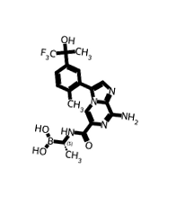 Cc1ccc(C(C)(O)C(F)(F)F)cc1-c1cnc2c(N)nc(C(=O)N[C@H](C)B(O)O)cn12